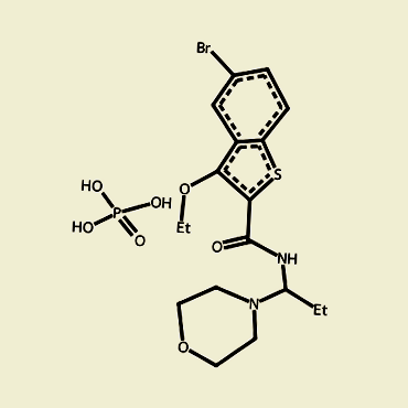 CCOc1c(C(=O)NC(CC)N2CCOCC2)sc2ccc(Br)cc12.O=P(O)(O)O